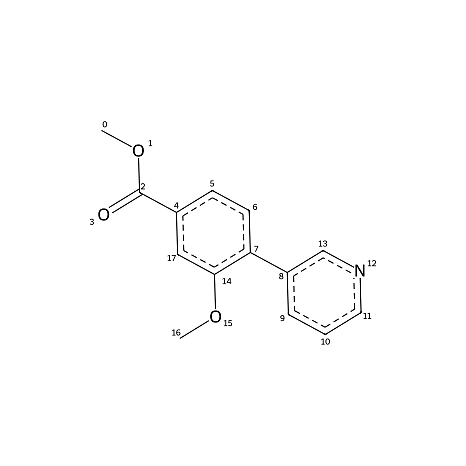 COC(=O)c1ccc(-c2cccnc2)c(OC)c1